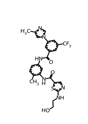 Cc1cn(-c2cc(C(=O)Nc3ccc(C)c(NC(=O)c4cnc(NCCO)s4)c3)cc(C(F)(F)F)c2)cn1